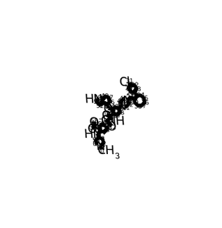 CN1CCC(Nc2ccc(S(=O)(=O)NC(=O)c3ccc(N4CCN(CC5=C(c6ccc(Cl)cc6)CCCCCC5)CC4)cc3Oc3cccc4[nH]ccc34)cc2[N+](=O)[O-])CC1